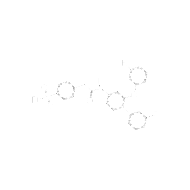 CCS(=O)(=O)c1ccc(CC(=O)Nc2ccc(-c3cccc(F)c3)c(Oc3cccc(F)c3)c2)cc1